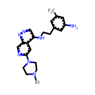 CCN1CCN(c2cc3c(NCCc4cc(N)cc(C(F)(F)F)c4)cnnc3cn2)CC1